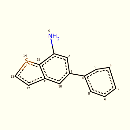 Nc1cc(-c2ccccc2)cc2ccsc12